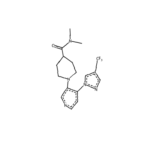 CN(C)C(=O)C1CCN(c2cnccc2-n2cc(C(F)(F)F)cn2)CC1